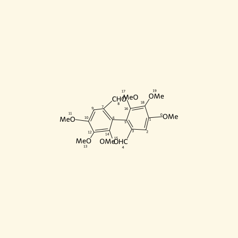 COc1cc(C=O)c(-c2c(C=O)cc(OC)c(OC)c2OC)c(OC)c1OC